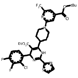 CCOC(=O)C1=C(C2CCN(c3cc(C(=O)OC(C)(C)C)cc(C(F)(F)F)n3)CC2)NC(c2nccs2)=NC1c1ccc(F)c(F)c1Cl